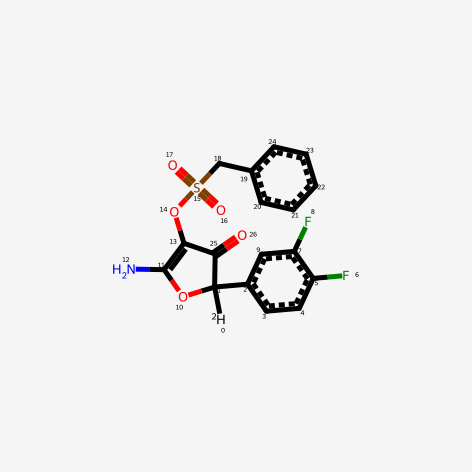 [2H]C1(c2ccc(F)c(F)c2)OC(N)=C(OS(=O)(=O)Cc2ccccc2)C1=O